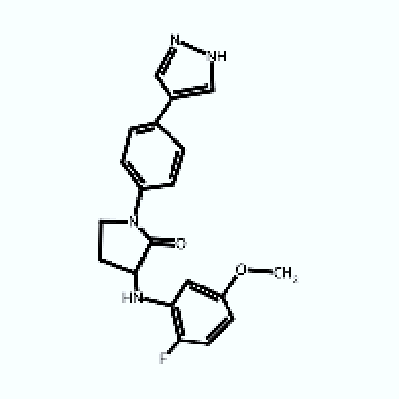 COc1ccc(F)c(NC2CCN(c3ccc(-c4cn[nH]c4)cc3)C2=O)c1